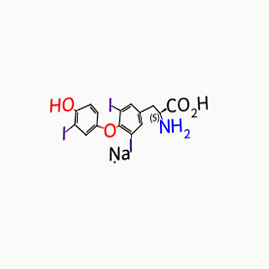 N[C@@H](Cc1cc(I)c(Oc2ccc(O)c(I)c2)c(I)c1)C(=O)O.[Na]